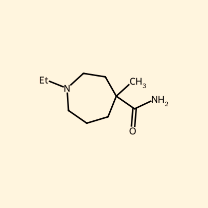 CCN1CCCC(C)(C(N)=O)CC1